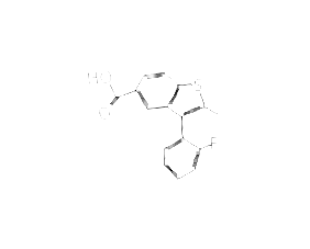 Cc1sc2ccc(C(=O)O)cc2c1-c1ccccc1F